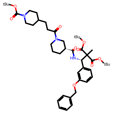 CC(C)(C)OC(=O)N1CCC(CCC(=O)N2CCC[C@@H](C(=O)N[C@@H](c3cccc(OCc4ccccc4)c3)C(C)(C(=O)OC(C)(C)C)C(=O)OC(C)(C)C)C2)CC1